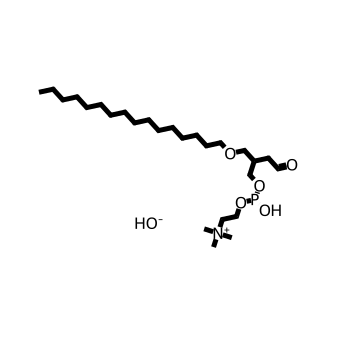 CCCCCCCCCCCCCCCCOCC(CC=O)COP(O)OCC[N+](C)(C)C.[OH-]